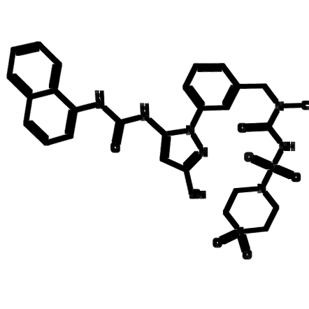 CN(Cc1cccc(-n2nc(C(C)(C)C)cc2NC(=O)Nc2cccc3ccccc23)c1)C(=O)NS(=O)(=O)N1CCS(=O)(=O)CC1